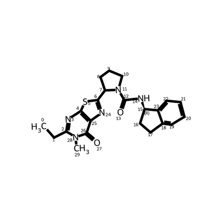 CCc1nc2sc(C3CCCN3C(=O)N[C@@H]3CCc4ccccc43)nc2c(=O)n1C